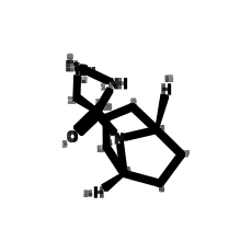 CCNC(=O)N1[C@@H]2CC[C@H]1C[C@H](CC(C)(C)C)C2